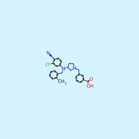 Cc1ccccc1CN(c1ccc(C#N)c(Cl)c1)[C@H]1CCN(Cc2cccc(C(=O)O)c2)C1